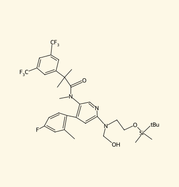 Cc1cc(F)ccc1-c1cc(N(CO)CCO[Si](C)(C)C(C)(C)C)ncc1N(C)C(=O)C(C)(C)c1cc(C(F)(F)F)cc(C(F)(F)F)c1